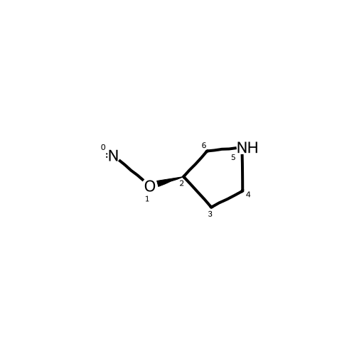 [N]O[C@@H]1CCNC1